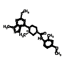 COc1ccc(NC(=O)N2CCN(c3nc(SC)nc4c3cnn4C)[C@@H](C)C2)c(C)c1